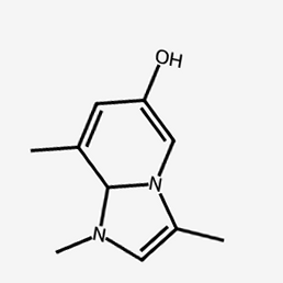 CC1=CC(O)=CN2C(C)=CN(C)C12